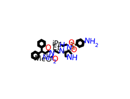 CC[C@@H](CN[C@@H]1CNC[C@H]1N(CCC(C)C)S(=O)(=O)c1ccc(N)cc1)N(C(=O)OC)C(=O)[C@@H](N)C(c1ccccc1)c1ccccc1